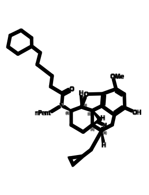 CCCCCN(C(=O)CCCCC1CCCCC1)[C@@H]1CC[C@H]2[C@H]3Cc4c(O)cc(OC)c5c4[C@@]2(CCN3CC2CC2)[C@H]1O5